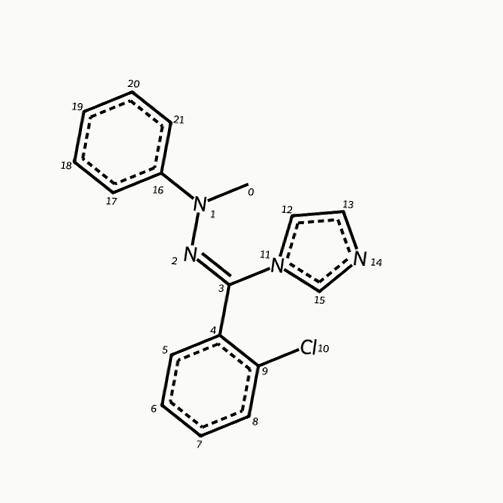 CN(N=C(c1ccccc1Cl)n1ccnc1)c1ccccc1